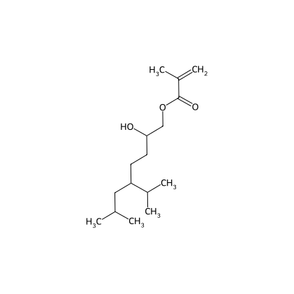 C=C(C)C(=O)OCC(O)CCC(CC(C)C)C(C)C